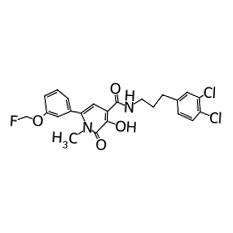 Cn1c(-c2cccc(OCF)c2)cc(C(=O)NCCCc2ccc(Cl)c(Cl)c2)c(O)c1=O